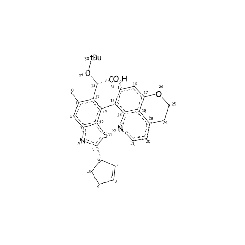 Cc1cc2nc([C@@H]3C=CCC3)sc2c(-c2ccc3c4c(ccnc24)CCO3)c1[C@H](OC(C)(C)C)C(=O)O